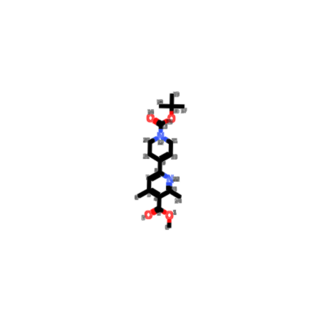 COC(=O)c1c(C)cc(C2=CCN(C(=O)OC(C)(C)C)CC2)nc1C